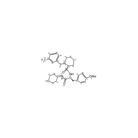 COc1ccc(C[C@H](NC(=O)[C@@H]2CCCCN2Sc2cccc(C(F)(F)F)c2)C(=O)NC2CCOCC2)cc1